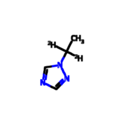 [2H]C([2H])(C)n1cncn1